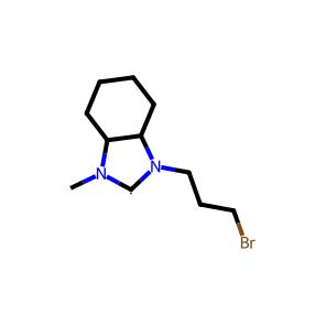 CN1[CH]N(CCCBr)C2CCCCC21